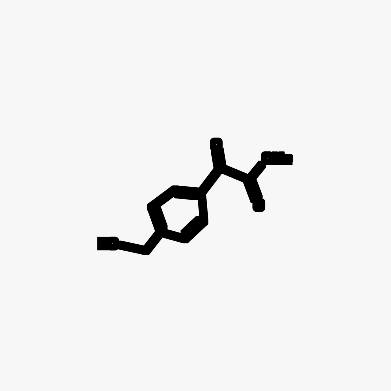 COC(=O)C(=O)c1ccc(CO)cc1